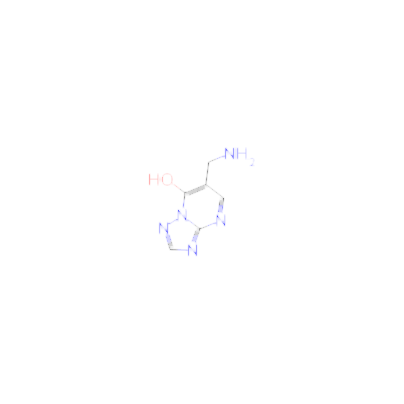 NCc1cnc2ncnn2c1O